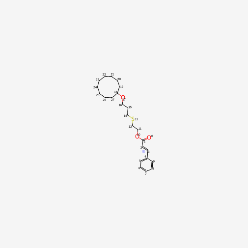 O=C(/C=C/c1ccccc1)OCCSCCCOC1CCCCCCCCC1